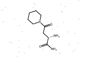 NC(=O)[C@@H](N)CC(=O)N1CCCCC1